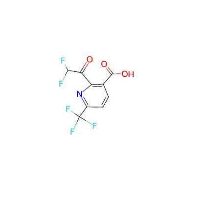 O=C(O)c1ccc(C(F)(F)F)nc1C(=O)C(F)F